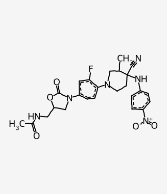 CC(=O)NCC1CN(c2ccc(N3CCC(C#N)(Nc4ccc([N+](=O)[O-])cc4)C(C)C3)c(F)c2)C(=O)O1